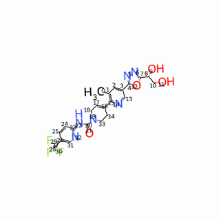 Cc1cc(-c2nnc([C@H](O)CO)o2)cnc1C1=CCN(C(=O)Nc2ccc(C(F)(F)F)cn2)CC1